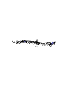 C/N=C/[S+]([O-])CSCSCSCSCSC(=O)NCSCSCSCSC/N=C/OOCCSCCO